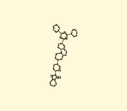 c1ccc(-c2nc(-c3ccccc3)nc(-c3ccc4c(ccc5cc(-c6ccc(-c7nc8ccccc8[nH]7)nc6)ccc54)c3)n2)cc1